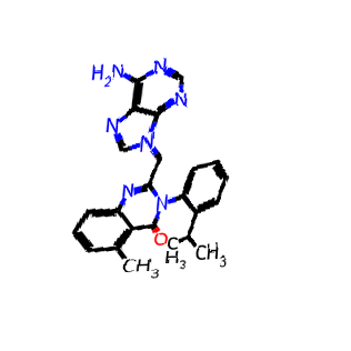 Cc1cccc2nc(Cn3cnc4c(N)ncnc43)n(-c3ccccc3C(C)C)c(=O)c12